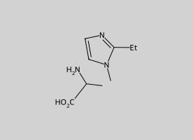 CC(N)C(=O)O.CCc1nccn1C